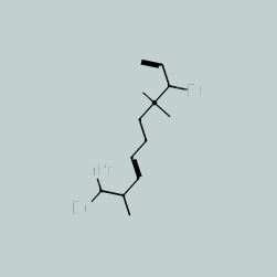 C=CC(CC)C(C)(CC)CCC=CC(C)C(CC)C(C)C